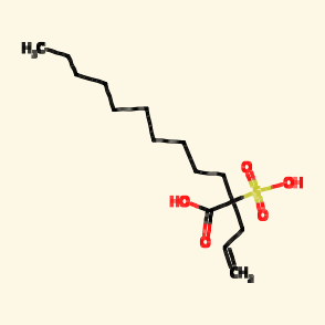 C=CCC(CCCCCCCCCC)(C(=O)O)S(=O)(=O)O